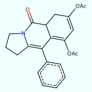 CC(=O)OC1=CC(OC(C)=O)=C2C(c3ccccc3)=C3CCCN3C(=O)C2C1